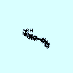 CC(O)c1nccn1CC1CC(c2ccc(C#Cc3ccc(CN4CCOCC4)cc3)cc2)=NO1